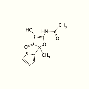 CC(=O)NC1=C(O)C(=O)C(C)(c2cccs2)O1